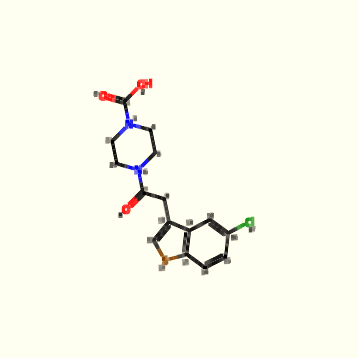 O=C(O)N1CCN(C(=O)Cc2csc3ccc(Cl)cc23)CC1